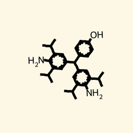 CC(C)c1cc(C(c2ccc(O)cc2)c2cc(C(C)C)c(N)c(C(C)C)c2)cc(C(C)C)c1N